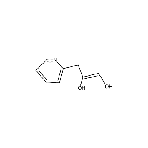 O/C=C(\O)Cc1ccccn1